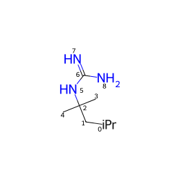 CC(C)CC(C)(C)NC(=N)N